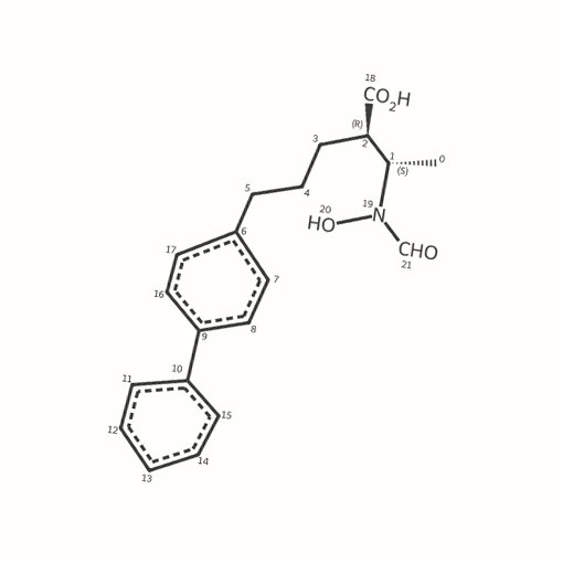 C[C@@H]([C@@H](CCCc1ccc(-c2ccccc2)cc1)C(=O)O)N(O)C=O